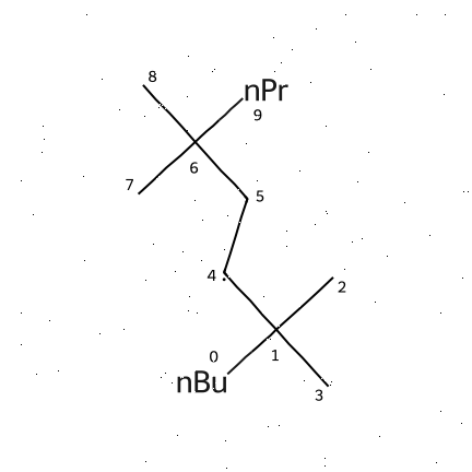 CCCCC(C)(C)[CH]CC(C)(C)CCC